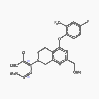 CN/N=C\C(=C(\Cl)C=O)N1CCc2c(nc(COC)nc2Oc2ccc(F)cc2C(F)(F)F)C1